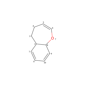 C1=CC2CCC=COC2C=C1